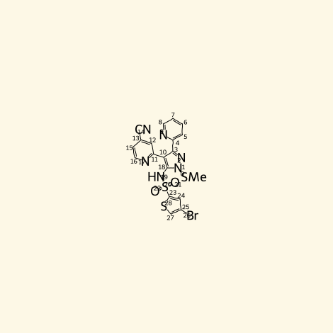 CSn1nc(-c2ccccn2)c(-c2cc(C#N)ccn2)c1NS(=O)(=O)c1cc(Br)cs1